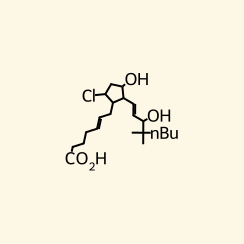 CCCCC(C)(C)C(O)C=CC1C(O)CC(Cl)C1CC=CCCCC(=O)O